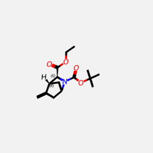 C=C1CC2C[C@H]1[C@@H](C(=O)OCC)N2C(=O)OC(C)(C)C